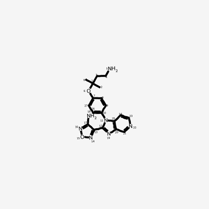 CC(C)(CCN)Oc1ccc(-n2c(-c3nonc3N)nc3cnccc32)cc1